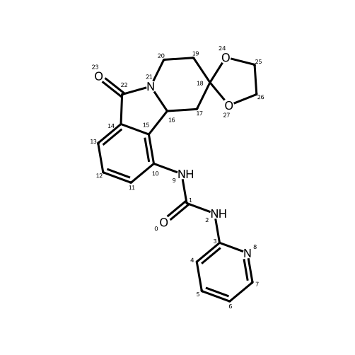 O=C(Nc1ccccn1)Nc1cccc2c1C1CC3(CCN1C2=O)OCCO3